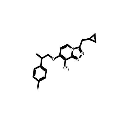 CC(COc1ccn2c(CC3CC3)nnc2c1C(F)(F)F)c1ccc(F)cc1